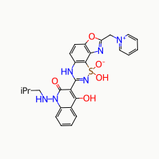 CC(C)CNn1c(=O)c(C2=NS([O-])(O)c3c(ccc4oc(C[n+]5ccccc5)nc34)N2)c(O)c2ccccc21